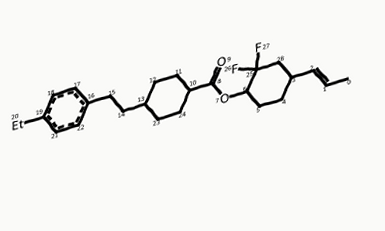 C/C=C/C1CCC(OC(=O)C2CCC(CCc3ccc(CC)cc3)CC2)C(F)(F)C1